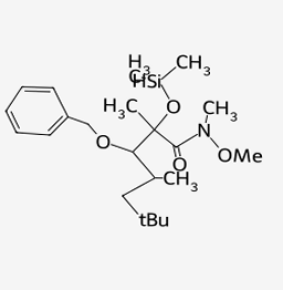 CON(C)C(=O)C(C)(O[SiH](C)C)C(OCc1ccccc1)C(C)CC(C)(C)C